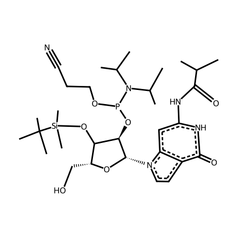 CC(C)C(=O)Nc1cc2c(ccn2[C@@H]2O[C@H](CO)C(O[Si](C)(C)C(C)(C)C)[C@H]2OP(OCCC#N)N(C(C)C)C(C)C)c(=O)[nH]1